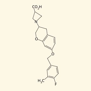 Cc1cc(COc2ccc3c(c2)OCC(N2CC(C(=O)O)C2)C3)ccc1F